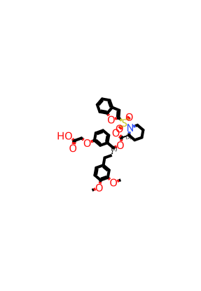 COc1ccc(CC[C@@H](OC(=O)[C@@H]2CCCCN2S(=O)(=O)c2cc3ccccc3o2)c2cccc(OCC(=O)O)c2)cc1OC